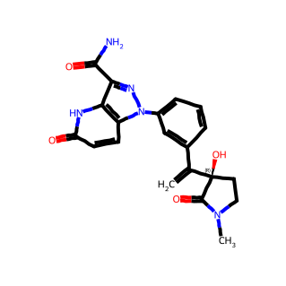 C=C(c1cccc(-n2nc(C(N)=O)c3[nH]c(=O)ccc32)c1)[C@]1(O)CCN(C)C1=O